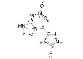 O=[N+]([O-])N=C1NCCN1Cc1cnc(F)s1